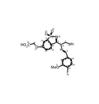 COc1cc(/C=N/N(CC(C)C)C2=NS(=O)(=O)c3cc(OCC(=O)O)ccc32)ccc1F